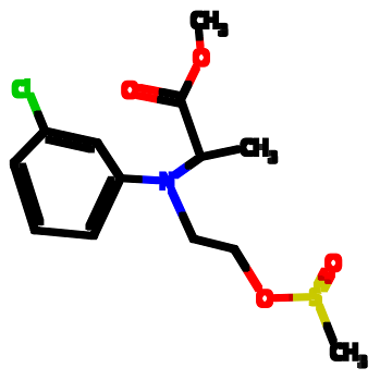 COC(=O)C(C)N(CCOS(C)=O)c1cccc(Cl)c1